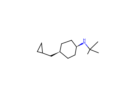 CC(C)(C)N[C@H]1CC[C@@H](CC2CC2)CC1